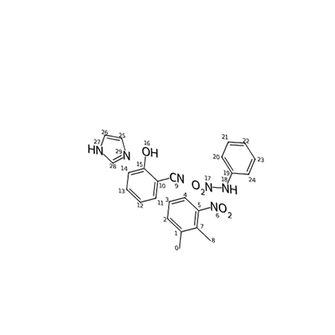 Cc1cccc([N+](=O)[O-])c1C.N#Cc1ccccc1O.O=[N+]([O-])Nc1ccccc1.c1c[nH]cn1